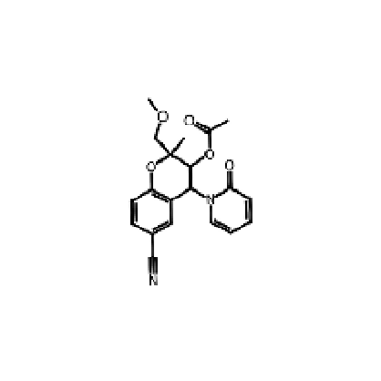 COCC1(C)Oc2ccc(C#N)cc2C(n2ccccc2=O)C1OC(C)=O